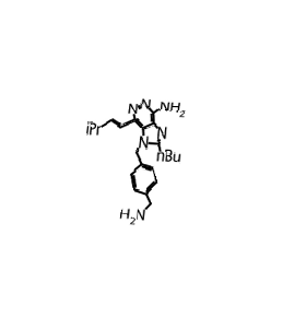 CCCCc1nc2c(N)nnc(/C=C/C(C)C)c2n1Cc1ccc(CN)cc1